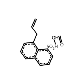 C=CCc1cccc2ccccc12.C=O.O=S(=O)(O)O